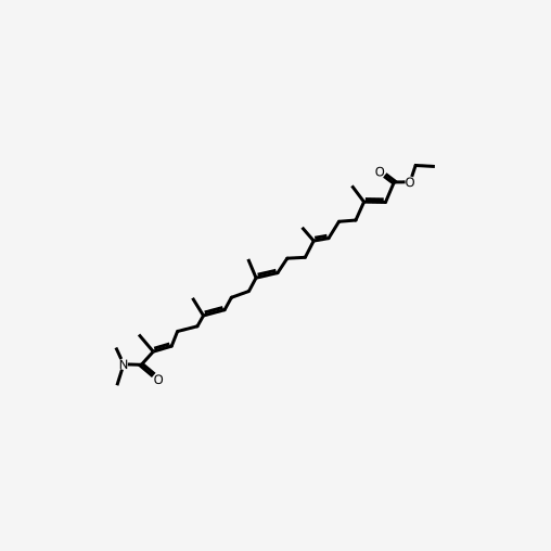 CCOC(=O)/C=C(\C)CC/C=C(\C)CC/C=C(\C)CC/C=C(\C)CC/C=C(\C)C(=O)N(C)C